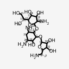 C[C@H](N)C1OC(OC2C(OC3OC([C@H](O)CO)C(O)C(O)C3N)C(N)C[C@H](N)C2O)C(O)C1O